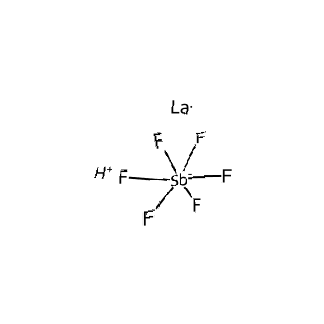 [F][Sb-]([F])([F])([F])([F])[F].[H+].[La]